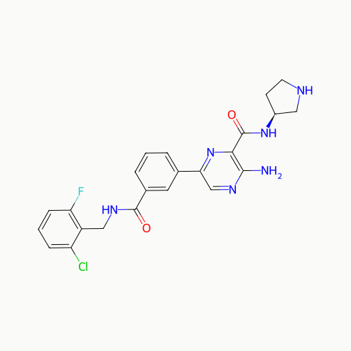 Nc1ncc(-c2cccc(C(=O)NCc3c(F)cccc3Cl)c2)nc1C(=O)N[C@H]1CCNC1